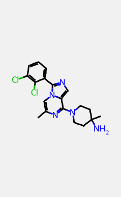 Cc1cn2c(-c3cccc(Cl)c3Cl)ncc2c(N2CCC(C)(N)CC2)n1